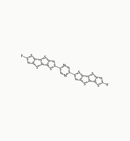 Fc1cc2sc3c4sc(-c5cnc(-c6cc7sc8c9sc(F)cc9sc8c7s6)cn5)cc4sc3c2s1